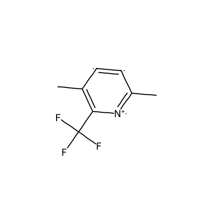 CC1=[N+]C(C(F)(F)F)=C(C)[C]=[C]1